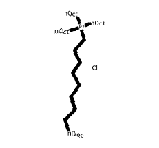 CCCCCCCCCCCCCCCCCC[P+](CCCCCCCC)(CCCCCCCC)CCCCCCCC.[Cl-]